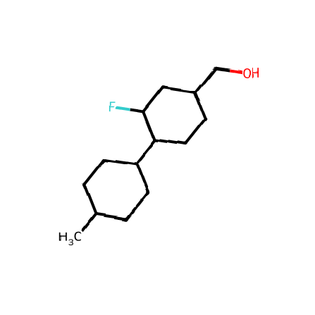 CC1CCC(C2CCC(CO)CC2F)CC1